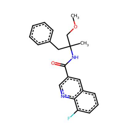 COCC(C)(Cc1ccccc1)NC(=O)c1cnc2c(F)cccc2c1